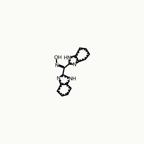 ON=C(c1nc2ccccc2[nH]1)c1nc2ccccc2[nH]1